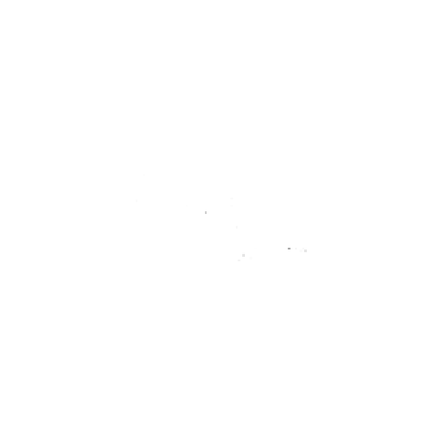 COC(=O)CCC(Br)C1CC2CC(C=O)C(O)CC2O1